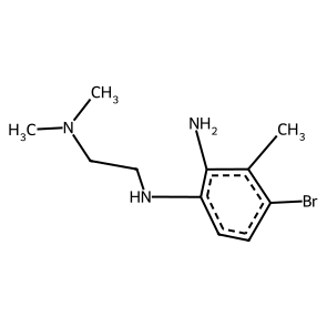 Cc1c(Br)ccc(NCCN(C)C)c1N